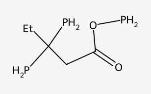 CCC(P)(P)CC(=O)OP